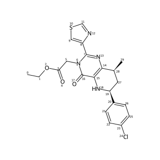 CCOC(=O)Cn1c(-c2cscn2)nc2c(c1=O)N[C@H](c1ccc(Cl)cc1)C[C@@H]2C